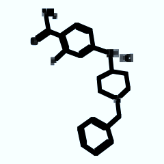 Cl.NC(=O)c1ccc(NC2CCN(Cc3ccccc3)CC2)cc1F